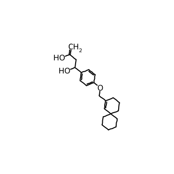 C=C(O)CC(O)c1ccc(OCC2=CC3(CCCCC3)CCC2)cc1